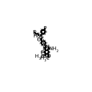 COc1cc2c(N)nc(N3CCN(C(=O)C[C@@H](NCCF)c4ccc(F)cc4)CC3)nc2c(F)c1OC